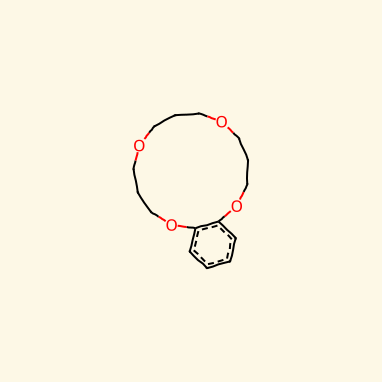 c1ccc2c(c1)OCCCOCCCOCCCO2